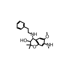 CNc1cc2c(cc1OC)[C@H](NCCc1ccccc1)C(O)C(C)(C)O2